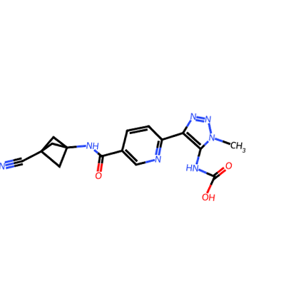 Cn1nnc(-c2ccc(C(=O)NC34CC(C#N)(C3)C4)cn2)c1NC(=O)O